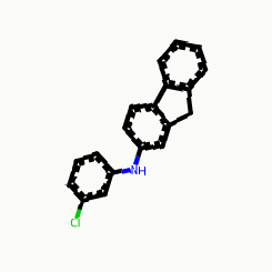 Clc1[c]ccc(Nc2ccc3c(c2)Cc2ccccc2-3)c1